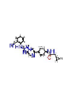 N#Cc1ccccc1Nc1nc2cnc(-c3ccc(NC(=O)CC4CC4)cc3)cn2n1